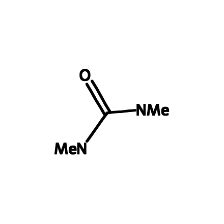 [CH]NC(=O)NC